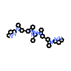 c1ccc(-c2cc(-n3c4ccccc4c4cc(-c5ccc6c(c5)c5ccccc5n6-c5cnc6c(ccc7cccnc76)c5)ccc43)nc(-n3c4ccccc4c4cc(-c5ccc6c(c5)c5ccccc5n6-c5cnc6c(ccc7cccnc76)c5)ccc43)n2)cc1